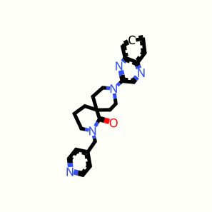 O=C1N(Cc2ccncc2)CCCC12CCN(c1cnc3ccccc3n1)CC2